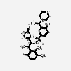 Cc1ccc(F)c([C@@H](C)[C@H](NS(=O)(=O)c2ccc(Cl)c(C(O)N3CCOCC3)n2)c2n[nH]c(=O)o2)c1C